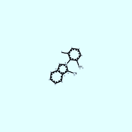 Cc1cccc(N)c1-n1cc2ccccc2c1C#N